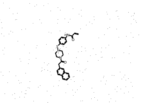 C=CC(=O)Nc1ccc(SN2CCN(C(=O)Cc3ccc4ccccc4c3)CC2)cc1